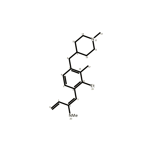 C=C/C(=C\c1ccc(CC2CCN(C)CC2)c(C)c1CC)NC